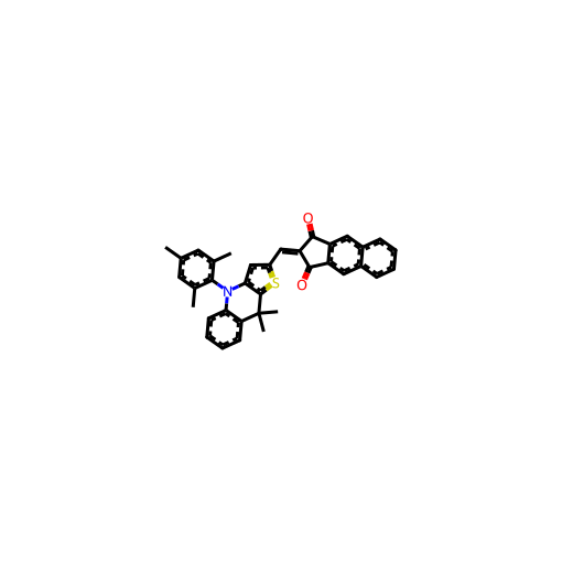 Cc1cc(C)c(N2c3ccccc3C(C)(C)c3sc(C=C4C(=O)c5cc6ccccc6cc5C4=O)cc32)c(C)c1